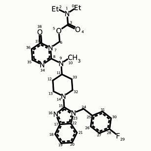 CCN(CC)C(=O)OCn1c(N(C)C2CCN(c3nc4ccccc4n3Cc3ccc(F)cc3)CC2)nccc1=O